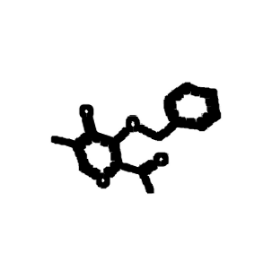 CC(=O)c1occ(C)c(=O)c1OCc1ccccc1